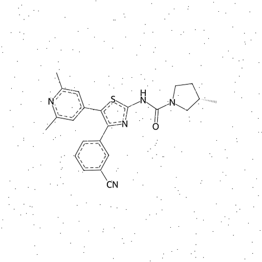 Cc1cc(-c2sc(NC(=O)N3CC[C@H](C)C3)nc2-c2cccc(C#N)c2)cc(C)n1